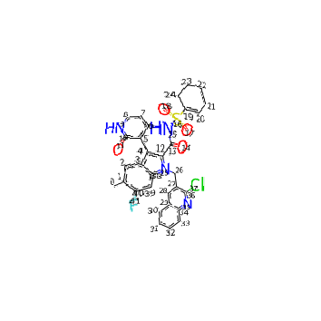 Cc1cc2c(-c3ccc[nH]c3=O)c(C(=O)NS(=O)(=O)C3=CC=CCC3)n(Cc3cc4ccccc4nc3Cl)c2cc1F